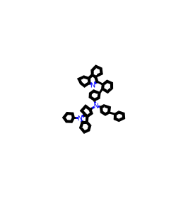 c1ccc(-c2ccc(N(c3cccc(-c4ccccc4-c4nc5ccccc5c5ccccc45)c3)c3ccc4c(c3)c3ccccc3n4-c3ccccc3)cc2)cc1